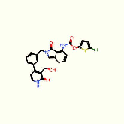 O=C(NC1=C2C(=O)N(Cc3cccc(-c4cc[nH]c(=O)c4CO)c3)C=C2CC=C1)Oc1ccc(Cl)s1